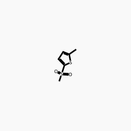 Cc1ccc(S(C)(=O)=O)s1